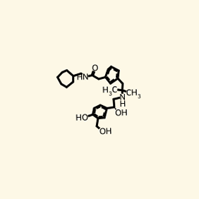 CC(C)(Cc1cccc(CC(=O)NCC2CCCCCC2)c1)NC[C@H](O)c1ccc(O)c(CO)c1